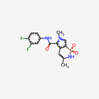 CC1=Cc2c(cn(C)c2C(=O)Nc2ccc(F)c(F)c2)S(=O)(=O)N1